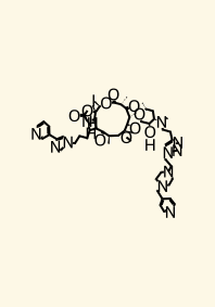 CO[C@]1(C)C[C@@H](C)C(=O)[C@@H]2C(CCCn3cnc(-c4cccnc4)c3)N3C(=O)O[C@](C)([C@@H](I)OC(=O)[C@H](C)C(=O)[C@H](C)[C@H]1O[C@@H]1O[C@H](C)C[C@H](N(C)CCc4cn(CCN5CCN(Cc6ccncc6)CC5)nn4)[C@H]1O)[C@@H]23